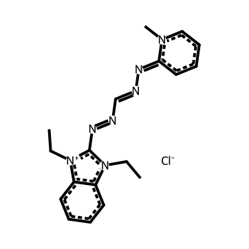 CCn1c(N=NC=NN=c2ccccn2C)[n+](CC)c2ccccc21.[Cl-]